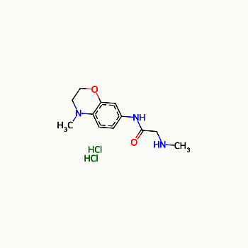 CNCC(=O)Nc1ccc2c(c1)OCCN2C.Cl.Cl